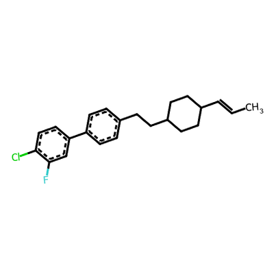 C/C=C/C1CCC(CCc2ccc(-c3ccc(Cl)c(F)c3)cc2)CC1